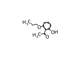 CCCOc1cccc(O)c1C(C)=O